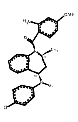 COc1ccc(C(=O)N2c3ccccc3[C@H](N(C(C)=O)c3ccc(Cl)cc3)C[C@@H]2C)c(C)c1